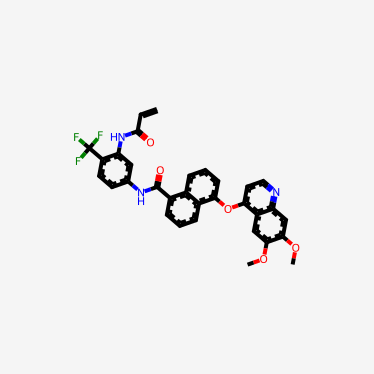 C=CC(=O)Nc1cc(NC(=O)c2cccc3c(Oc4ccnc5cc(OC)c(OC)cc45)cccc23)ccc1C(F)(F)F